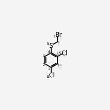 Clc1ccc(SCBr)c(Cl)c1